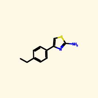 CCc1ccc(-c2csc(N)n2)cc1